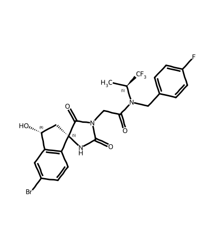 C[C@H](N(Cc1ccc(F)cc1)C(=O)CN1C(=O)N[C@]2(C[C@@H](O)c3cc(Br)ccc32)C1=O)C(F)(F)F